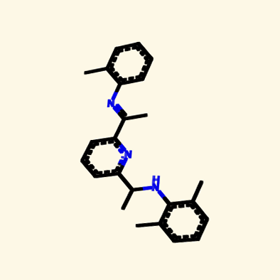 C/C(=N\c1ccccc1C)c1cccc(C(C)Nc2c(C)cccc2C)n1